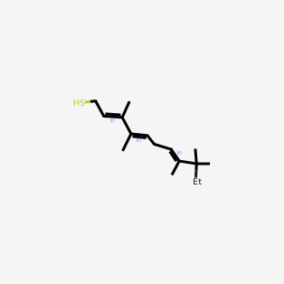 CCC(C)(C)/C(C)=C/C/C=C(C)/C(C)=C/CS